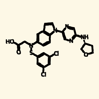 O=C(O)CN(Sc1cc(Cl)cc(Cl)c1)c1ccc2c(ccn2-c2cnc(N[C@@H]3CCOC3)cn2)c1